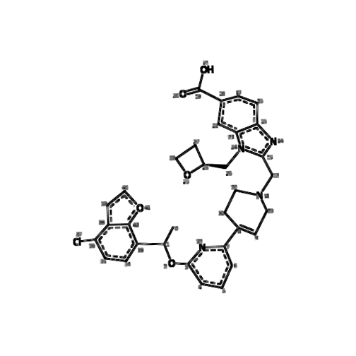 CC(Oc1cccc(C2=CCN(Cc3nc4ccc(C(=O)O)cc4n3C[C@@H]3CCO3)CC2)n1)c1ccc(Cl)c2ccoc12